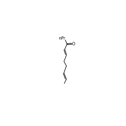 CC=CCCC=CC(=O)CCC